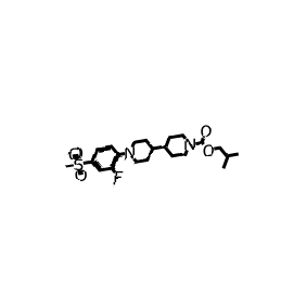 CC(C)COC(=O)N1CCC(C2CCN(c3ccc(S(C)(=O)=O)cc3F)CC2)CC1